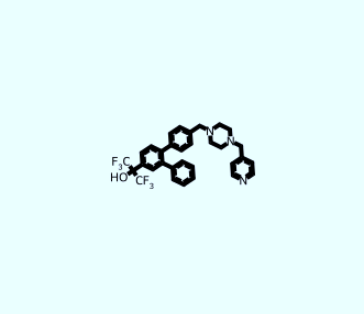 OC(c1ccc(-c2ccc(CN3CCN(Cc4ccncc4)CC3)cc2)c(-c2ccccc2)c1)(C(F)(F)F)C(F)(F)F